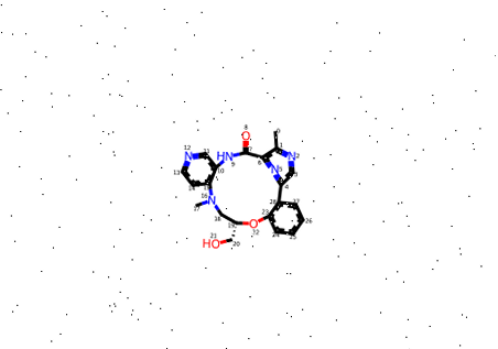 Cc1ncc2nc1C(=O)Nc1cnccc1N(C)C[C@@H](CO)Oc1ccccc1-2